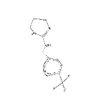 FC(F)(F)c1ccc(CNC2=NCCCN2)cc1